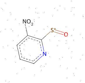 O=[S+]c1ncccc1[N+](=O)[O-]